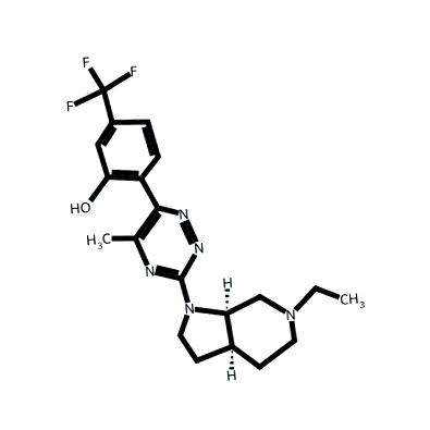 CCN1CC[C@H]2CCN(c3nnc(-c4ccc(C(F)(F)F)cc4O)c(C)n3)[C@H]2C1